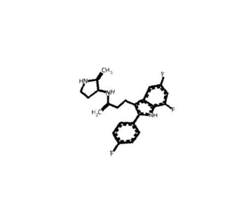 C=C(CCc1c(-c2ccc(F)cc2)[nH]c2c(F)cc(F)cc12)NC1CCNC1=C